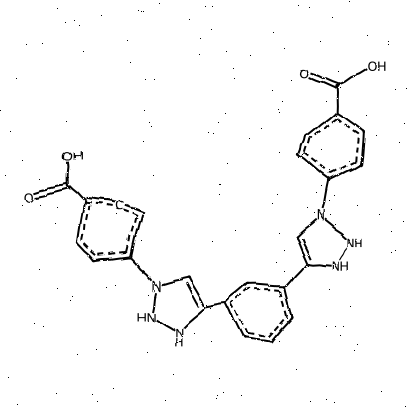 O=C(O)c1ccc(N2C=C(c3cccc(C4=CN(c5ccc(C(=O)O)cc5)NN4)c3)NN2)cc1